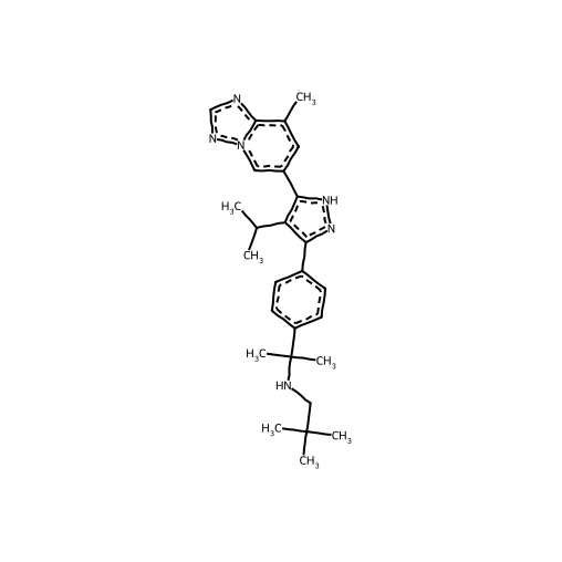 Cc1cc(-c2[nH]nc(-c3ccc(C(C)(C)NCC(C)(C)C)cc3)c2C(C)C)cn2ncnc12